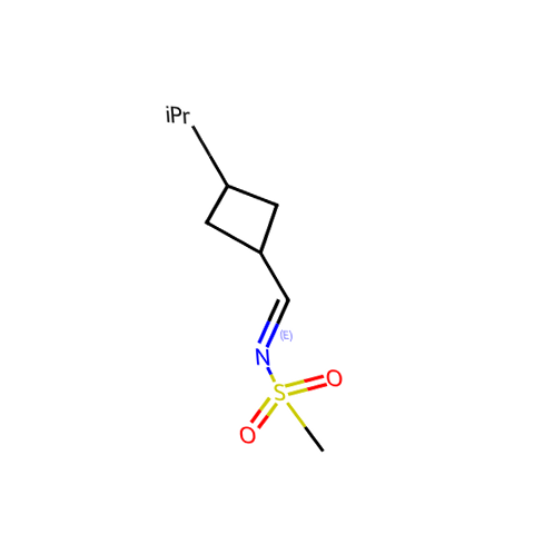 CC(C)C1CC(/C=N/S(C)(=O)=O)C1